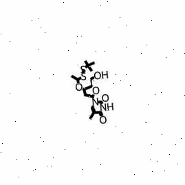 Cc1cn([C@H]2CC(OC(C)SSC(C)(C)C)[C@@H](CO)O2)c(=O)[nH]c1=O